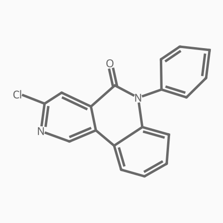 O=c1c2cc(Cl)ncc2c2ccccc2n1-c1ccccc1